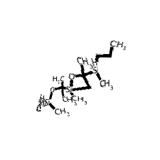 CCC[SiH](C)C1(C)C[Si](C)(C(C)(C)O[SiH](C)C)O1